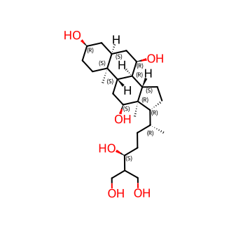 C[C@H](CC[C@H](O)C(CO)CO)[C@H]1CC[C@H]2[C@@H]3[C@H](O)C[C@@H]4C[C@H](O)CC[C@]4(C)[C@H]3C[C@H](O)[C@]12C